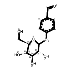 O=Cc1ccc(OC2O[C@H](CO)[C@@H](O)[C@H](O)[C@H]2O)cc1